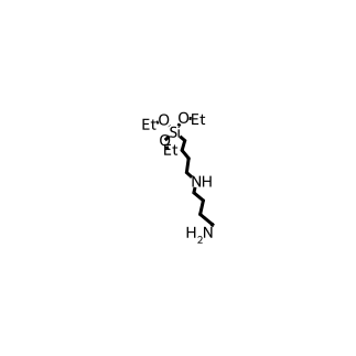 CCO[Si](CCCCNCCCCN)(OCC)OCC